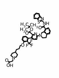 CC(C)(C)OC(=O)c1nc(N2CCc3cccc(C(=O)Nc4nc5ccccc5s4)c3C2)ccc1-c1cccc(OCCCC2CCN(CC(=O)O)CC2)c1C(F)(F)F